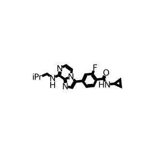 CC(C)CNc1nccn2c(-c3ccc(C(=O)NC4CC4)c(F)c3)cnc12